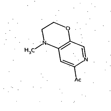 CC(=O)c1cc2c(cn1)OCCN2C